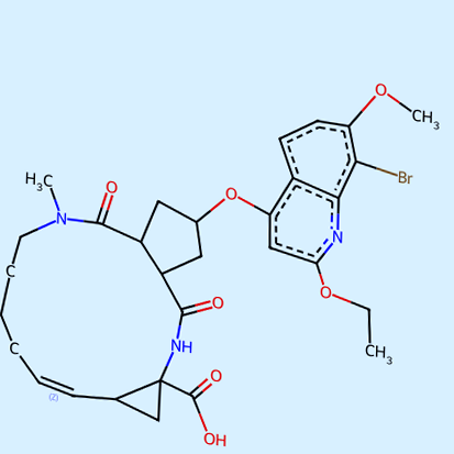 CCOc1cc(OC2CC3C(=O)NC4(C(=O)O)CC4/C=C\CCCCN(C)C(=O)C3C2)c2ccc(OC)c(Br)c2n1